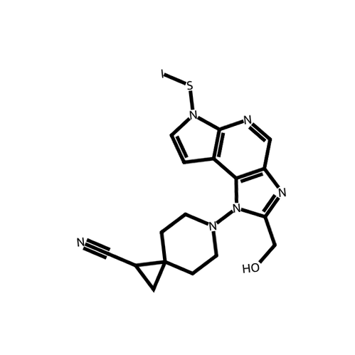 N#CC1CC12CCN(n1c(CO)nc3cnc4c(ccn4SI)c31)CC2